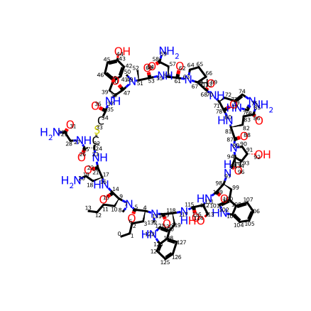 CCCC[C@H]1C(=O)N(C)[C@@H](CCCC)C(=O)N[C@@H](CCN)C(=O)N[C@H](C(=O)NCC(N)=O)CSCC(=O)N[C@@H](Cc2ccc(O)cc2)C(=O)N(C)[C@@H](C)C(=O)N[C@@H](CC(N)=O)C(=O)N2CCC[C@H]2C(=O)N[C@@H](Cc2cnc[nH]2)C(=O)N[C@@H](CCC(N)=O)C(=O)N2C[C@H](O)C[C@H]2C(=O)N[C@@H](Cc2c[nH]c3ccccc23)C(=O)NC(CO)C(=O)N[C@@H](Cc2c[nH]c3ccccc23)C(=O)N1C